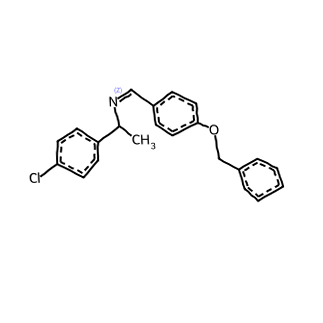 CC(/N=C\c1ccc(OCc2ccccc2)cc1)c1ccc(Cl)cc1